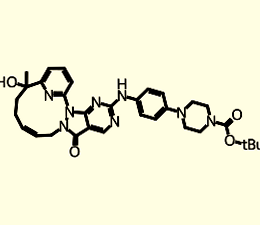 CC(C)(C)OC(=O)N1CCN(c2ccc(Nc3ncc4c(=O)n5n(c4n3)-c3cccc(n3)C(C)(O)CC/C=C\C5)cc2)CC1